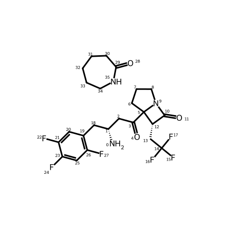 N[C@@H](CC(=O)C12CCCN1C(=O)[C@@H]2CC(F)(F)F)Cc1cc(F)c(F)cc1F.O=C1CCCCCN1